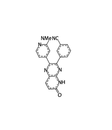 CNc1cc(-c2nc3ccc(=O)[nH]c3nc2-c2cccc(C#N)c2)ccn1